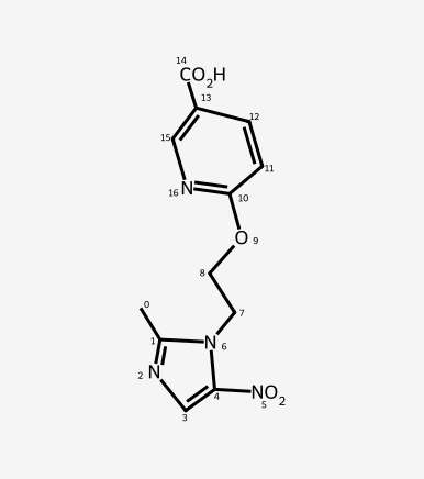 Cc1ncc([N+](=O)[O-])n1CCOc1ccc(C(=O)O)cn1